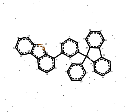 c1ccc(C2(c3cccc(-c4cccc5c4sc4ccccc45)c3)c3ccccc3-c3ccccc32)cc1